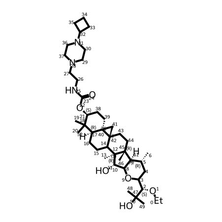 CCO[C@@H](C1C[C@@H](C)[C@H]2C(O1)[C@H](O)[C@@]1(C)C3CC[C@H]4C(C)(C)[C@@H](OC(=O)NCCN5CCN(C6CCC6)CC5)CC[C@@]45C[C@@]35CC[C@]21C)C(C)(C)O